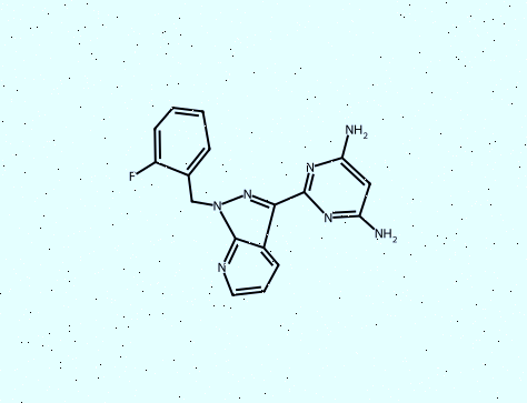 Nc1cc(N)nc(-c2nn(Cc3ccccc3F)c3ncccc23)n1